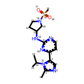 Cc1ncc(-c2ccnc(NC3CCN(S(C)(=O)=O)C3)n2)n1C(C)C